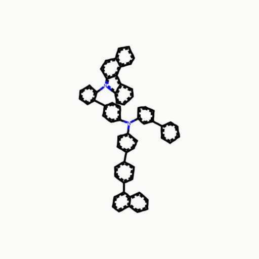 c1ccc(-c2cccc(N(c3ccc(-c4ccc(-c5cccc6ccccc56)cc4)cc3)c3ccc(-c4ccccc4-n4c5ccccc5c5c6ccccc6ccc54)cc3)c2)cc1